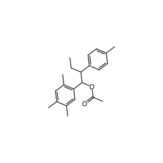 CCC(c1ccc(C)cc1)C(OC(C)=O)c1cc(C)c(C)cc1C